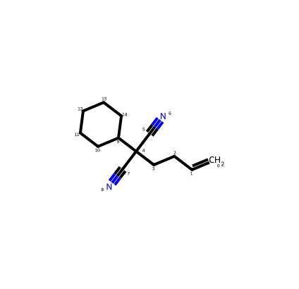 C=CCCC(C#N)(C#N)C1CCCCC1